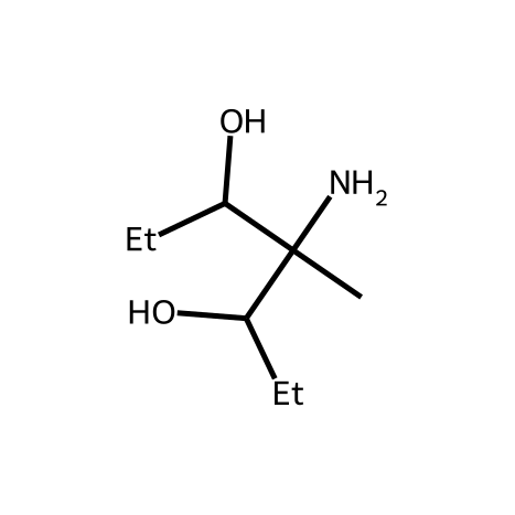 CCC(O)C(C)(N)C(O)CC